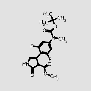 COC(=O)C1C(=O)NCC1c1c(F)cc(N(C)C(=O)OC(C)(C)C)cc1F